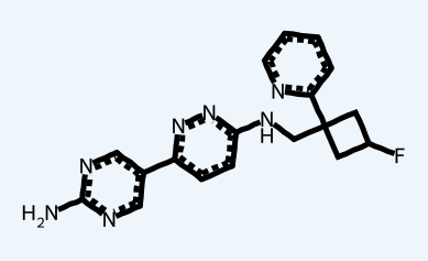 Nc1ncc(-c2ccc(NCC3(c4ccccn4)CC(F)C3)nn2)cn1